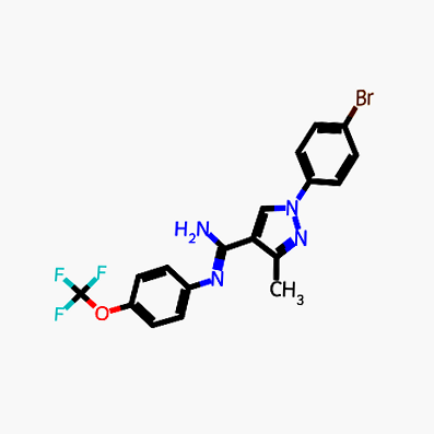 Cc1nn(-c2ccc(Br)cc2)cc1C(N)=Nc1ccc(OC(F)(F)F)cc1